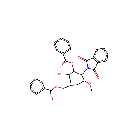 COC1CC(COC(=O)c2ccccc2)C(O)C(OC(=O)c2ccccc2)C1N1C(=O)c2ccccc2C1=O